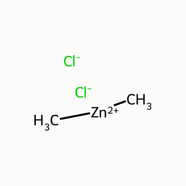 [CH3][Zn+2][CH3].[Cl-].[Cl-]